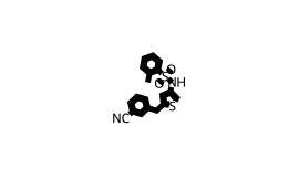 Cc1ccccc1S(=O)(=O)Nc1csc(Cc2cccc(C#N)c2)c1